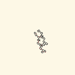 c1ccc(-c2nc(-c3cccc(-c4cccnc4)c3)cc(-c3cc(-c4ccc5ccccc5c4)cc(-c4ccc(-c5cccc(-c6cc(-c7cccc(-c8cc9ccccc9c9ccccc89)c7)nc(-c7ccc8c9ccccc9c9ccccc9c8c7)n6)c5)cn4)c3)n2)cc1